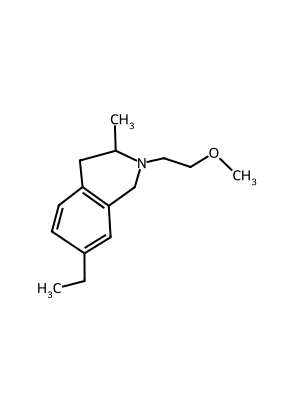 CCc1ccc2c(c1)CN(CCOC)C(C)C2